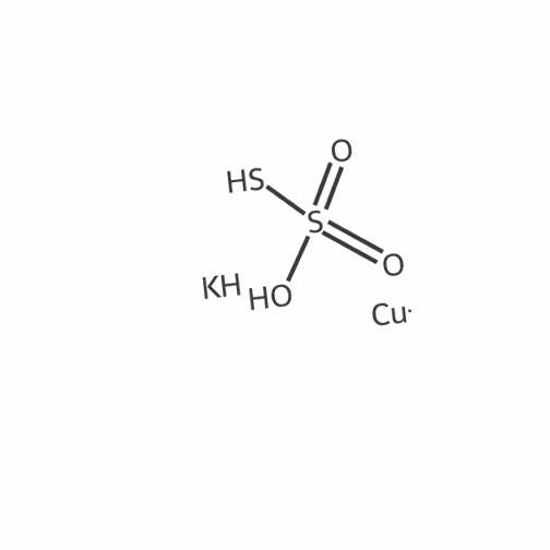 O=S(=O)(O)S.[Cu].[KH]